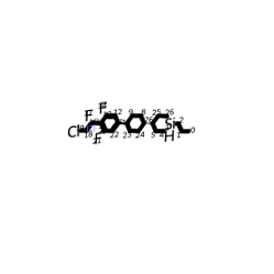 CCC[SiH]1CCC([C@H]2CC[C@H](c3cc(F)c(/C(F)=C/Cl)c(F)c3)CC2)CC1